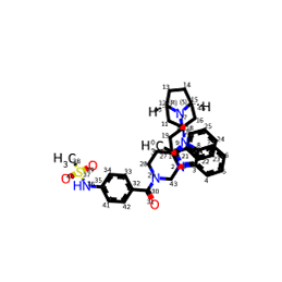 Cc1nc2ccccc2n1[C@H]1C[C@H]2CC[C@@H](C1)N2CCC1(c2ccccc2)CCN(C(=O)c2ccc(NS(C)(=O)=O)cc2)CC1